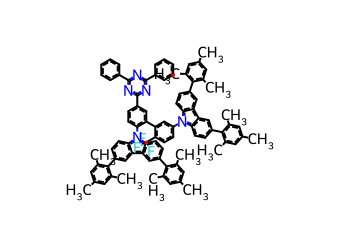 Cc1cc(C)c(-c2ccc3c(c2)c2cc(-c4c(C)cc(C)cc4C)ccc2n3-c2ccc(C(F)(F)F)c(-c3cc(-c4nc(-c5ccccc5)nc(-c5ccccc5)n4)ccc3-n3c4ccc(-c5c(C)cc(C)cc5C)cc4c4cc(-c5c(C)cc(C)cc5C)ccc43)c2)c(C)c1